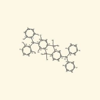 Cc1cccc(C)c1B(c1c(C)cccc1C)c1c(C)cc2c(c1C)C(C)(C)c1ccc(N(c3ccccc3)c3ccccc3)cc1C2(C)C